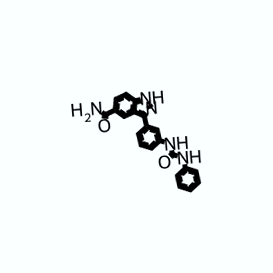 NC(=O)c1ccc2[nH]nc(-c3cccc(NC(=O)Nc4ccccc4)c3)c2c1